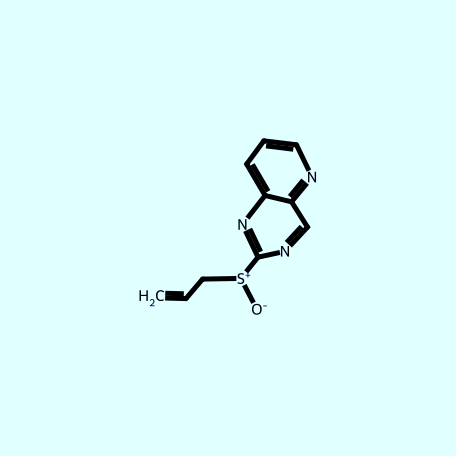 C=CC[S+]([O-])c1ncc2ncccc2n1